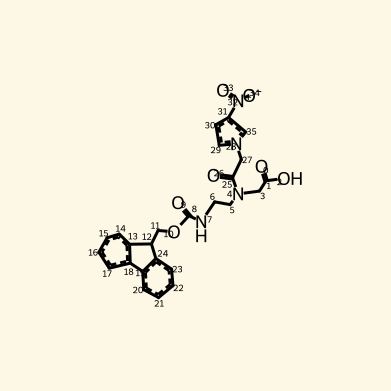 O=C(O)CN(CCNC(=O)OCC1c2ccccc2-c2ccccc21)C(=O)Cn1ccc([N+](=O)[O-])c1